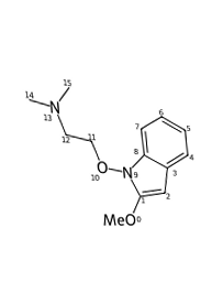 COc1cc2ccccc2n1OCCN(C)C